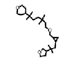 CC(C)(CCOCC1CC1CC(C)(C)C1CCOC1)CCC(C)(C)C1CCOCC1